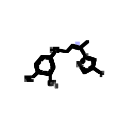 C/C(=C/CNc1ccc(C#N)c(C(F)(F)F)c1)n1cc(F)cn1